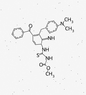 COC(=O)NC(=S)NC1C=CC(C(=O)c2ccccc2)=C(Cc2ccc(N(C)C)cc2)C1=N